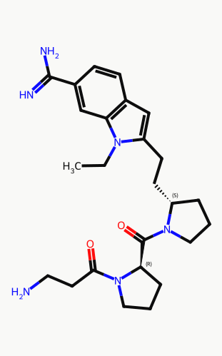 CCn1c(CC[C@@H]2CCCN2C(=O)[C@H]2CCCN2C(=O)CCN)cc2ccc(C(=N)N)cc21